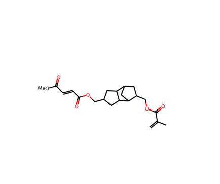 C=C(C)C(=O)OCC1CC2CC1C1CC(COC(=O)/C=C/C(=O)OC)CC21